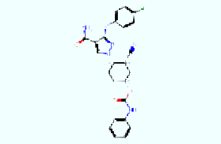 N#C[C@H]1C[C@H](OC(=O)Nc2ccccc2)CC[C@@H]1n1cc(C(N)=O)c(Nc2ccc(F)cc2)n1